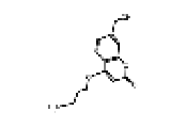 NCCCOc1cc(=O)oc2cc(CO)ccc12